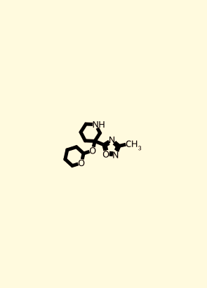 Cc1noc(C2(OC3CCCCO3)CCCNC2)n1